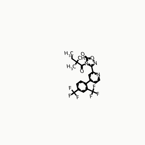 CCC(C)(C)C(=O)n1c(-c2cc(-c3ccc(C(F)(F)F)cc3C(F)(F)F)ccn2)noc1=O